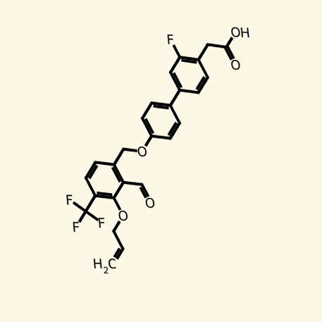 C=CCOc1c(C(F)(F)F)ccc(COc2ccc(-c3ccc(CC(=O)O)c(F)c3)cc2)c1C=O